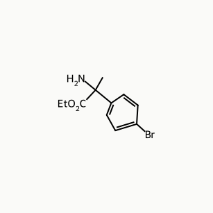 CCOC(=O)C(C)(N)c1ccc(Br)cc1